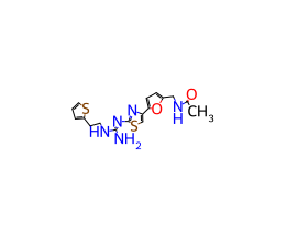 CC(=O)NCc1ccc(-c2csc(/N=C(\N)NCCc3cccs3)n2)o1